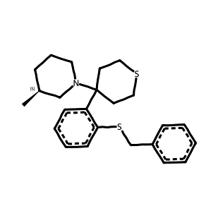 C[C@H]1CCCN(C2(c3ccccc3SCc3ccccc3)CCSCC2)C1